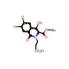 CCOC(=O)CCn1c(C(=O)OC(C)(C)C)c(O)c2cc(Cl)c(Cl)cc2c1=O